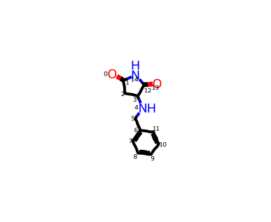 O=C1CC(NCc2ccccc2)C(=O)N1